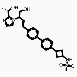 C[C@H](O)c1nccn1C(/C=C/c1ccc(-c2ccc(C3CC(NS(C)(=O)=O)C3)cc2)cc1)CO